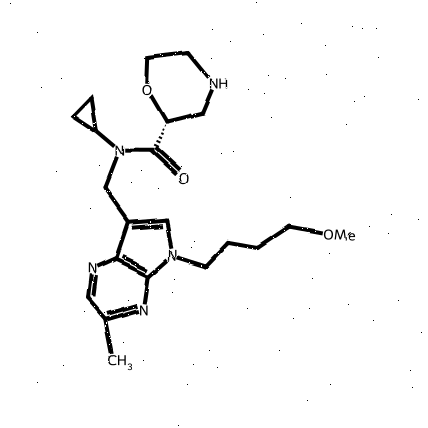 COCCCCn1cc(CN(C(=O)[C@H]2CNCCO2)C2CC2)c2ncc(C)nc21